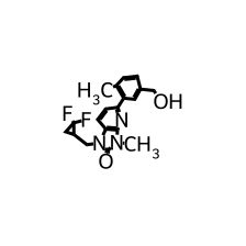 Cc1ccc(CO)cc1-c1ccc2c(n1)n(C)c(=O)n2CC1CC1(F)F